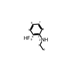 CCNc1ccccc1.F